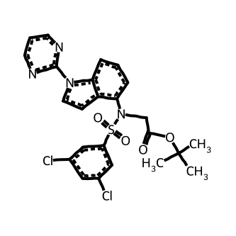 CC(C)(C)OC(=O)CN(c1cccc2c1ccn2-c1ncccn1)S(=O)(=O)c1cc(Cl)cc(Cl)c1